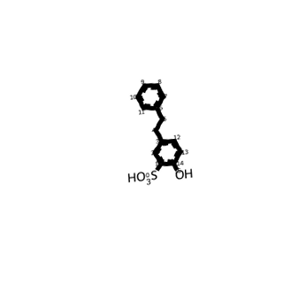 O=S(=O)(O)c1cc(CCc2ccccc2)ccc1O